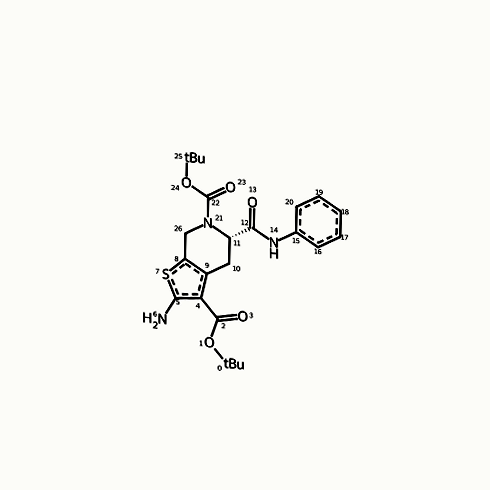 CC(C)(C)OC(=O)c1c(N)sc2c1C[C@@H](C(=O)Nc1ccccc1)N(C(=O)OC(C)(C)C)C2